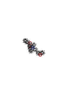 c1ccc(N(c2ccc(-c3ccc4oc5ccccc5c4c3)cc2)c2cccc3ccccc23)c(-c2cccc3c2oc2cc4ccccc4cc23)c1